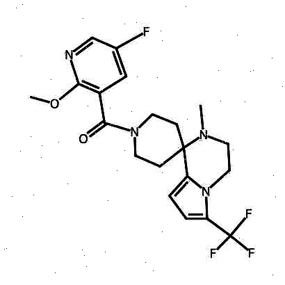 COc1ncc(F)cc1C(=O)N1CCC2(CC1)c1ccc(C(F)(F)F)n1CCN2C